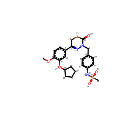 COc1ccc(C2=NN(Cc3ccc(NS(C)(=O)=O)cc3)C(=O)SC2)cc1OC1CCCC1